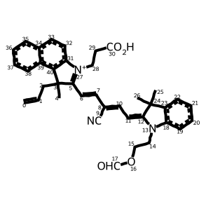 C=CCC1(C)C(/C=C/C(C#N)=C/C=C2/N(CCOC=O)c3ccccc3C2(C)C)=[N+](CCC(=O)O)c2ccc3ccccc3c21